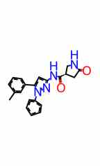 Cc1cccc(-c2cc(NC(=O)[C@H]3CNC(=O)C3)nn2-c2ccccc2)c1